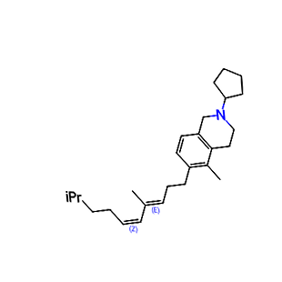 CC(/C=C\CCC(C)C)=C\CCc1ccc2c(c1C)CCN(C1CCCC1)C2